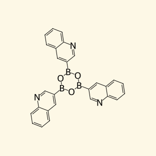 c1ccc2ncc(B3OB(c4cnc5ccccc5c4)OB(c4cnc5ccccc5c4)O3)cc2c1